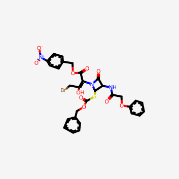 O=C(COc1ccccc1)NC1C(=O)N(/C(C(=O)OCc2ccc([N+](=O)[O-])cc2)=C(\O)CBr)C1SC(=O)OCc1ccccc1